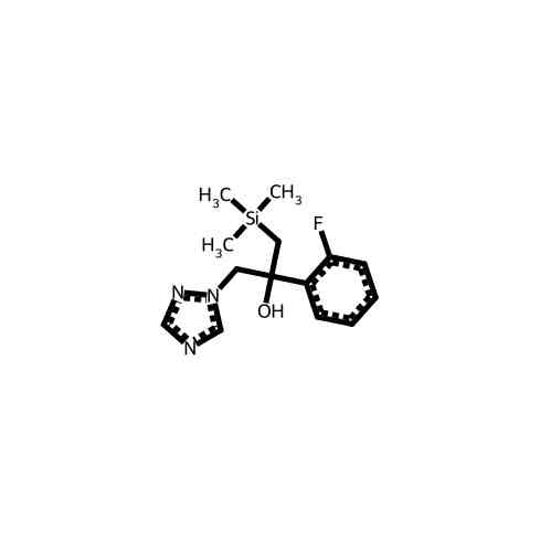 C[Si](C)(C)CC(O)(Cn1cncn1)c1ccccc1F